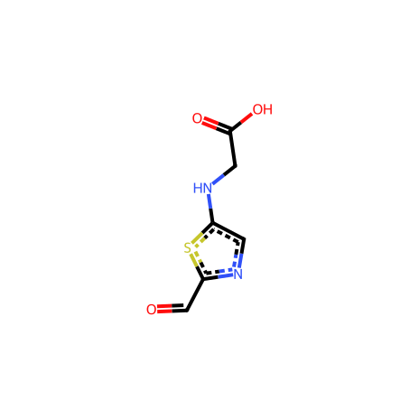 O=Cc1ncc(NCC(=O)O)s1